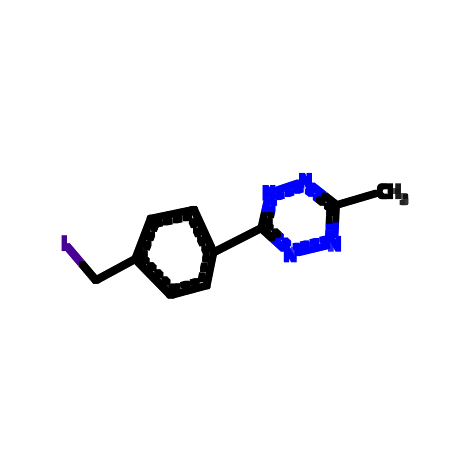 Cc1nnc(-c2ccc(CI)cc2)nn1